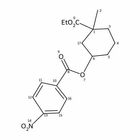 CCOC(=O)C1(C)CCCC(OC(=O)c2ccc([N+](=O)[O-])cc2)C1